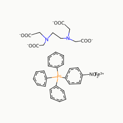 O=C([O-])CN(CCN(CC(=O)[O-])CC(=O)[O-])CC(=O)[O-].O=[N+]([O-])c1ccc([P+](c2ccccc2)(c2ccccc2)c2ccccc2)cc1.[Fe+3]